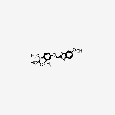 COc1ccc2nc(COc3ccc(N(C)C(=O)O)c(C)c3)sc2c1